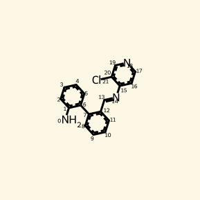 Nc1ccccc1-c1ccccc1C=Nc1ccncc1Cl